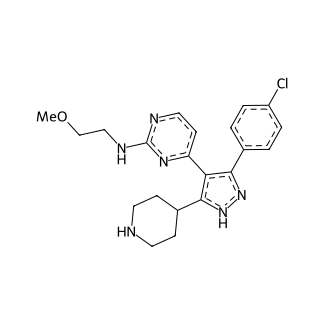 COCCNc1nccc(-c2c(-c3ccc(Cl)cc3)n[nH]c2C2CCNCC2)n1